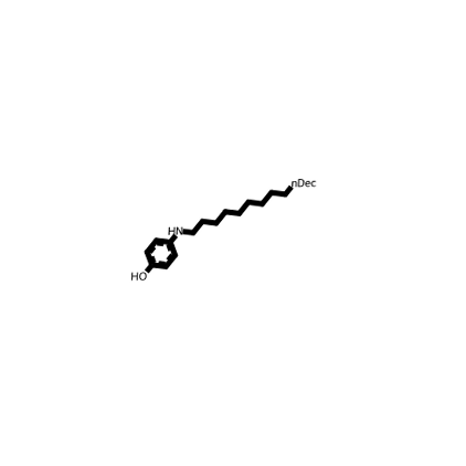 CCCCCCCCCCCCCCCCCCCNc1ccc(O)cc1